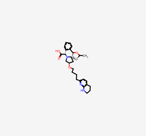 CC(C)O[C@H](C)c1ccccc1[C@@H](C(=O)O)N1CC[C@@H](OCCCCc2ccc3c(n2)NCCC3)C1